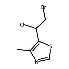 Cc1ncsc1C(Cl)CBr